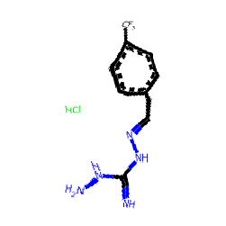 Cl.N=C(NN)NN=Cc1ccc(C(F)(F)F)cc1